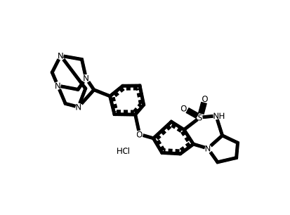 Cl.O=S1(=O)NC2CCCN2c2ccc(Oc3cccc(C4N5CN6CN(C5)CN4C6)c3)cc21